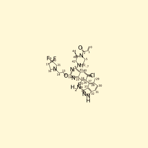 C=CC(=O)N1C[C@H](C)N(c2nc(OCCN3CCC(F)(F)C3)nc3c(F)c(-c4c(C)ccc5[nH]nc(N)c45)c(Cl)cc23)C[C@H]1C